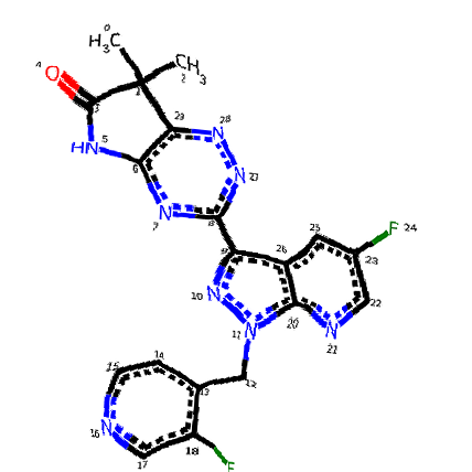 CC1(C)C(=O)Nc2nc(-c3nn(Cc4ccncc4F)c4ncc(F)cc34)nnc21